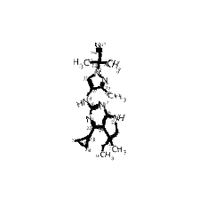 CCC1(C)CNc2nc(Nc3cn(C(C)(C)C#N)nc3C)nc(C3CC3)c21